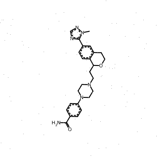 Cn1ncnc1-c1ccc2c(c1)CCOC2CCN1CCN(c2ccc(C(N)=O)cc2)CC1